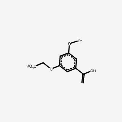 C=C(O)c1cc(OCC(=O)O)cc(OC(C)C)c1